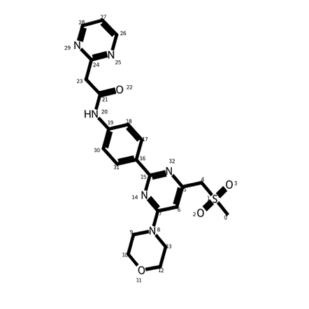 CS(=O)(=O)Cc1cc(N2CCOCC2)nc(-c2ccc(NC(=O)Cc3ncccn3)cc2)n1